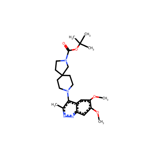 COc1cc2nnc(C)c(N3CCC4(CCN(C(=O)OC(C)(C)C)C4)CC3)c2cc1OC